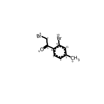 Cc1ccc(C(=O)CBr)c(Br)c1